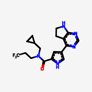 O=C(c1cc(-c2ncnc3c2CCN3)c[nH]1)N(CCC(F)(F)F)CC1CC1